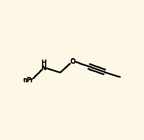 CC#COCNCCC